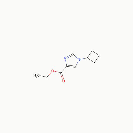 CCOC(=O)c1cn(C2CCC2)cn1